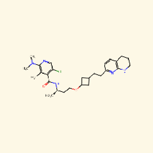 Cc1c(N(C)C)ncc(Cl)c1C(=O)N[C@@H](CCOC1CC(CCc2ccc3c(n2)NCCC3)C1)C(=O)O